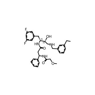 CCc1cccc(CNC[C@H](O)[C@H](Cc2cc(F)cc(F)c2)NC(=O)CC(NC(=O)COC)c2ccccc2)c1